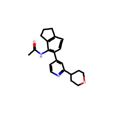 CC(=O)Nc1c(-c2ccnc(C3CCOCC3)c2)ccc2c1CCC2